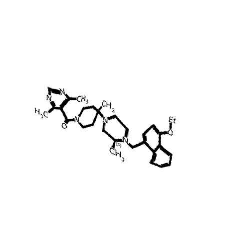 CCOc1ccc(CN2CCN(C3(C)CCN(C(=O)c4c(C)ncnc4C)CC3)C[C@@H]2C)c2ccccc12